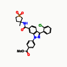 COC(=O)c1ccc(-n2nc(-c3ccccc3Cl)c3ccc(C(=O)NC4(C)CCS(=O)(=O)C4)cc32)cc1